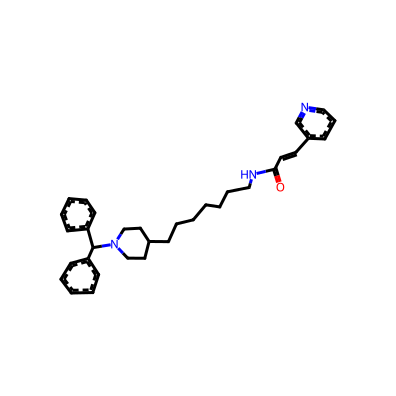 O=C(C=Cc1cccnc1)NCCCCCCCC1CCN(C(c2ccccc2)c2ccccc2)CC1